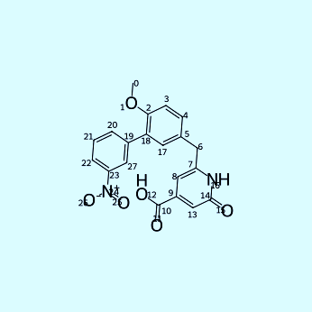 COc1ccc(Cc2cc(C(=O)O)cc(=O)[nH]2)cc1-c1cccc([N+](=O)[O-])c1